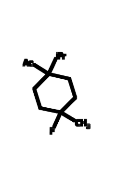 CC(=O)C1(C(C)C)CCC(C)(F)CC1